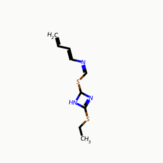 C=C/C=C/N=C\SC1N=C(SCC)N1